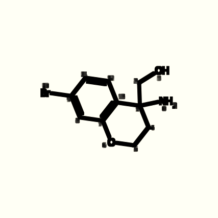 NC1(CO)CCOc2cc(Br)ccc21